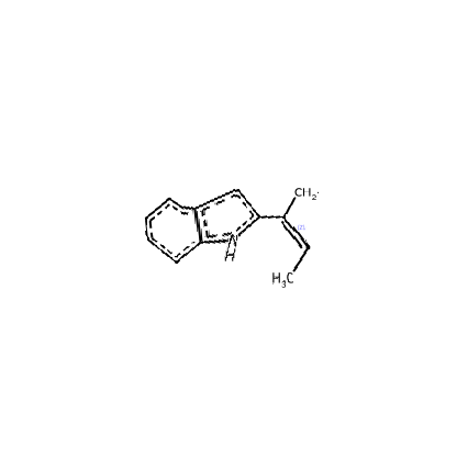 [CH2]/C(=C/C)c1cc2ccccc2[nH]1